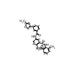 COc1ncc(NC(=O)c2cccc(-c3noc(C)n3)c2)cc1S(=O)(=O)Nc1c(C)cccc1C